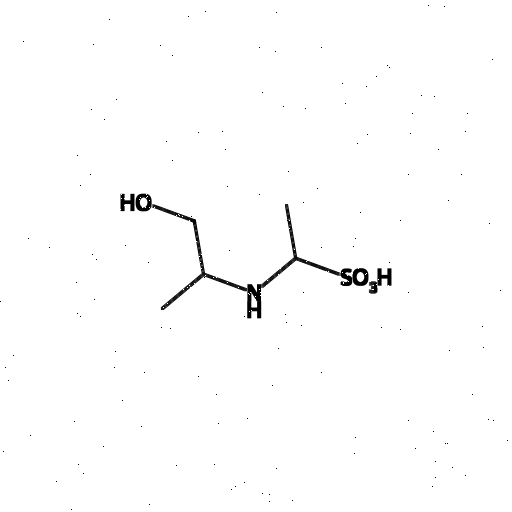 CC(CO)NC(C)S(=O)(=O)O